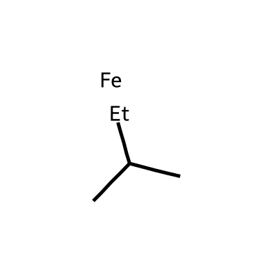 CCC(C)C.[Fe]